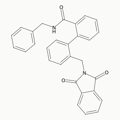 O=C(NCc1ccccc1)c1ccccc1-c1ccccc1CN1C(=O)c2ccccc2C1=O